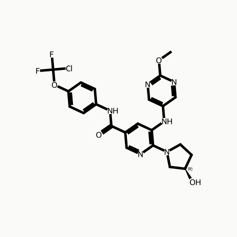 COc1ncc(Nc2cc(C(=O)Nc3ccc(OC(F)(F)Cl)cc3)cnc2N2CC[C@@H](O)C2)cn1